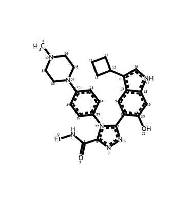 CCNC(=O)c1nnc(-c2cc3c(C4CCC4)c[nH]c3cc2O)n1-c1ccc(N2CCN(C)CC2)cc1